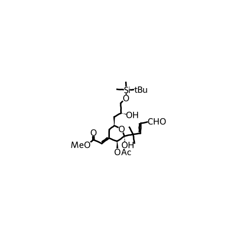 COC(=O)/C=C1\C[C@@H](C[C@@H](O)CO[Si](C)(C)C(C)(C)C)O[C@@](O)(C(C)(C)/C=C/C=O)[C@H]1OC(C)=O